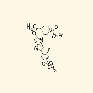 CC(C)OC(=O)N1CCC([C@H](C)Oc2nn3cc(-c4ccc(S(C)(=O)=O)cc4F)nc3s2)CC1